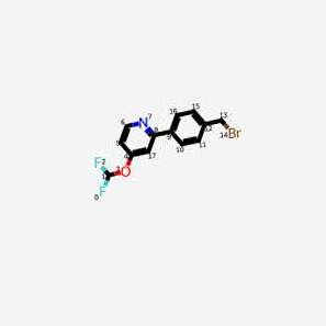 FC(F)Oc1ccnc(-c2ccc(CBr)cc2)c1